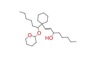 CCCCCC(O)C=CC1(C(CCCCC)OC2CCCCO2)CCCCC1